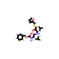 CC(C)C[C@H](NC(=O)[C@H](CC(C)C)NC(=O)OCc1ccccc1)C(=O)CSCc1ccco1